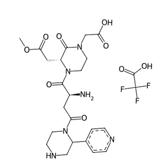 COC(=O)C[C@@H]1C(=O)N(CC(=O)O)CCN1C(=O)[C@@H](N)CC(=O)N1CCNCC1c1ccncc1.O=C(O)C(F)(F)F